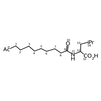 CC(=O)CCCCCCCCC(=O)NC(CC(C)C)C(=O)O